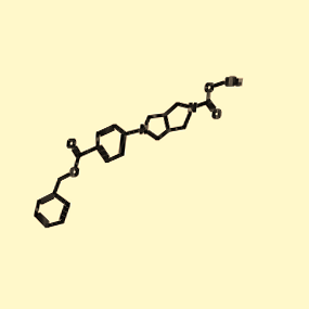 CC(C)(C)OC(=O)N1CC2CN(c3ccc(C(=O)OCc4ccccc4)cc3)CC2C1